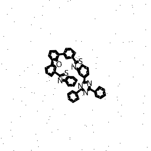 c1ccc(-c2nc(-c3ccccc3)nc(-c3ccc4sc(-c5cccc(-c6cccc7c6oc6c(-c8nc9ccccc9s8)cccc67)c5)nc4c3)n2)cc1